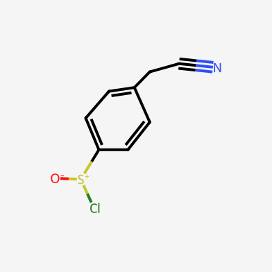 N#CCc1ccc([S+]([O-])Cl)cc1